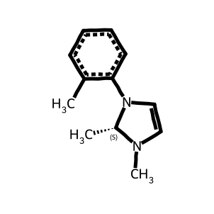 Cc1ccccc1N1C=CN(C)[C@@H]1C